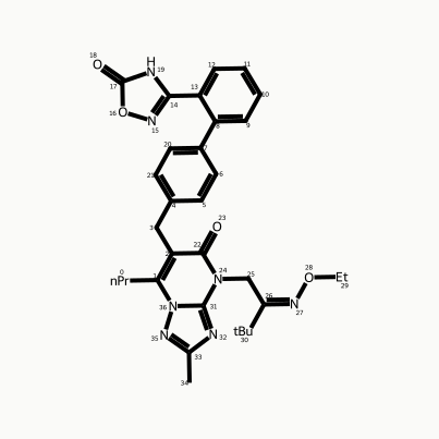 CCCc1c(Cc2ccc(-c3ccccc3-c3noc(=O)[nH]3)cc2)c(=O)n(C/C(=N\OCC)C(C)(C)C)c2nc(C)nn12